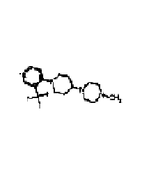 CN1CCN(C2CCN(c3cc[c]cc3C(F)(F)F)CC2)CC1